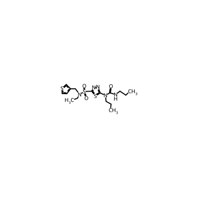 CCCNC(=O)N(CCC)c1nnc(S(=O)(=O)N(CC)Cc2ccsc2)s1